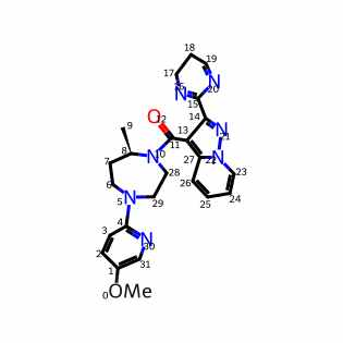 COc1ccc(N2CC[C@@H](C)N(C(=O)c3c(C4=NCCC=N4)nn4ccccc34)CC2)nc1